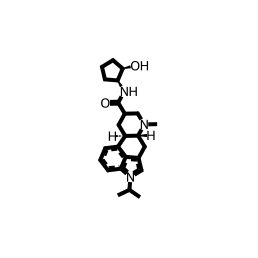 CC(C)n1cc2c3c(cccc31)[C@H]1CC(C(=O)N[C@H]3CCC[C@H]3O)CN(C)[C@@H]1C2